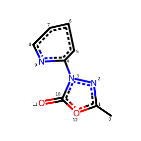 Cc1nn(-c2ccccn2)c(=O)o1